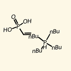 C=CP(=O)(O)O.CCCC[PH](CCCC)(CCCC)CCCC